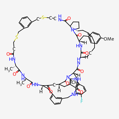 COc1ccc(C[C@@H]2NC(=O)[C@@H]3CCCC/C=C\CC[C@@]4(CCCN4C2=O)C(=O)NCCSCc2cccc(c2)CSCCC(=O)N[C@@H](C)C(=O)N[C@H](C)C(=O)N[C@H]2Cc4cccc(c4)CNC(=O)CC[C@@H](C(=O)N3)N(C)C(=O)[C@H](Cc3c[nH]c4ccc(F)cc34)CC2=O)cc1